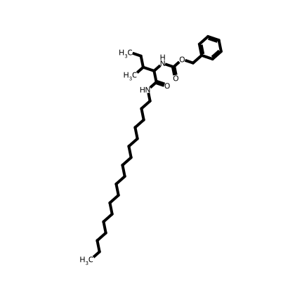 CCCCCCCCCCCCCCCCCCNC(=O)C(NC(=O)OCc1ccccc1)C(C)CC